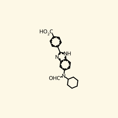 O=CN(c1ccc2[nH]c(-c3ccc(C(=O)O)cc3)nc2c1)C1CCCCC1